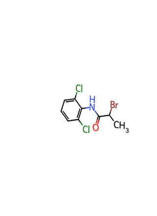 CC(Br)C(=O)Nc1c(Cl)cccc1Cl